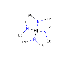 CC[N](C)[Hf]([N](C)CC)([N](C(C)C)C(C)C)[N](C(C)C)C(C)C